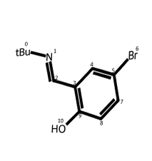 CC(C)(C)N=Cc1cc(Br)ccc1O